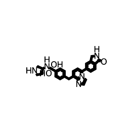 O=C1NCc2cc(-c3ccc(Cc4ccc(C(O)(O)NC5CCNC5)cc4)c4nccn34)ccc21